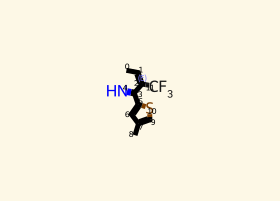 C/C=C(\C(=N)c1cc(C)cs1)C(F)(F)F